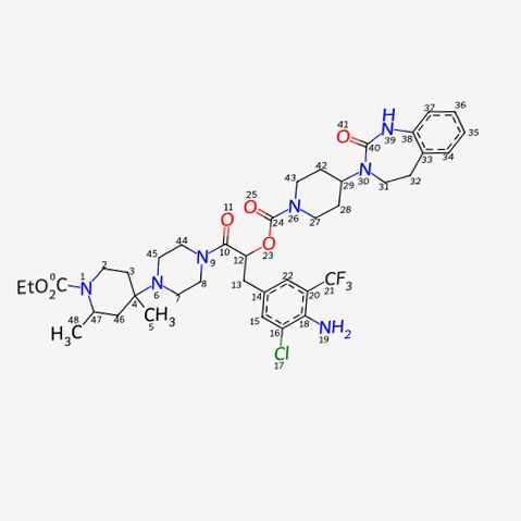 CCOC(=O)N1CCC(C)(N2CCN(C(=O)C(Cc3cc(Cl)c(N)c(C(F)(F)F)c3)OC(=O)N3CCC(N4CCc5ccccc5NC4=O)CC3)CC2)CC1C